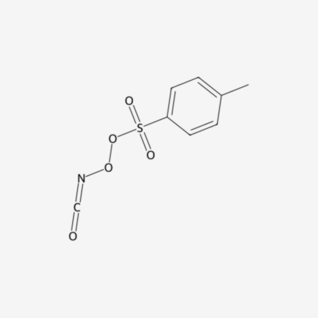 Cc1ccc(S(=O)(=O)OON=C=O)cc1